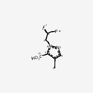 Cc1cnn(CC(F)F)c1C(=O)O